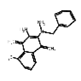 C=c1c(N(N)Cc2ccccc2)c(N)c(=C)c2c(C)cccc12